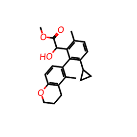 COC(=O)C(O)c1c(C)ccc(C2CC2)c1-c1ccc2c(c1C)CCCO2